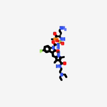 CCN(CC)CCNC(=O)c1c(C)[nH]c(/C=C2\C(=O)N(C(=O)NS(=O)(=O)N[C@@H](CCN)C(=O)PC)c3ccc(F)cc32)c1C